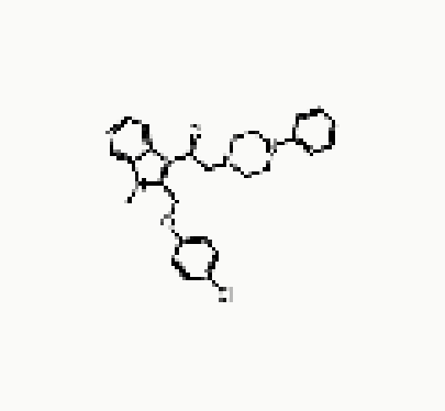 Cn1c(COc2ccc(Cl)cc2)c(C(=O)CN2CCN(c3ccccc3)CC2)c2ccccc21